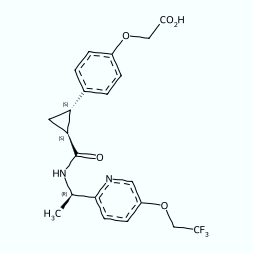 C[C@@H](NC(=O)[C@H]1C[C@@H]1c1ccc(OCC(=O)O)cc1)c1ccc(OCC(F)(F)F)cn1